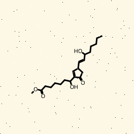 CCCCCC(O)/C=C/C1C=C(C(O)CCCCCC(=O)OC)C(=O)C1